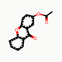 CC(=O)Oc1ccc2oc3ccccc3c(=O)c2c1